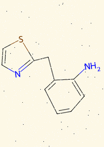 Nc1ccccc1Cc1nccs1